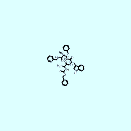 CC(NC(=O)OCc1ccccc1)C(=O)N[C@@H](Cc1c[nH]c2ccccc12)C(=O)N[C@@H](Cc1ccccc1)[C@H](O)C(=O)NCc1ccccn1